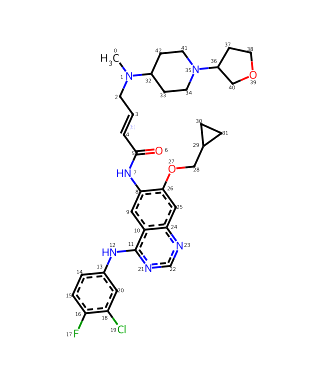 CN(C/C=C/C(=O)Nc1cc2c(Nc3ccc(F)c(Cl)c3)ncnc2cc1OCC1CC1)C1CCN(C2CCOC2)CC1